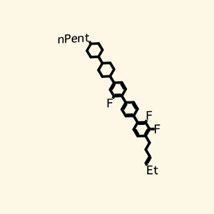 CC/C=C/CCc1ccc(-c2ccc(-c3ccc(C4CCC(C5CCC(CCCCC)CC5)CC4)cc3F)cc2)c(F)c1F